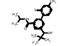 Cc1ccc(-c2cc(C(=O)NC(C)C)cc(C(O)C(C)(C)C)c2)c(F)c1